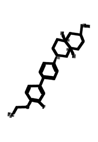 CCCCCCC1CC[C@@H]2C[C@H](c3ccc(-c4ccc(OCC(F)(F)F)c(F)c4)cc3)CC[C@@H]2C1